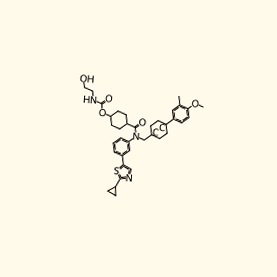 COc1ccc(C23CCC(CN(C(=O)C4CCC(OC(=O)NCCO)CC4)c4cccc(-c5cnc(C6CC6)s5)c4)(CC2)CC3)cc1C